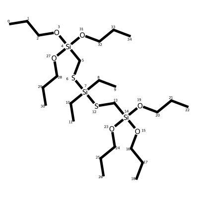 CCCO[Si](CS[Si](CC)(CC)SC[Si](OCCC)(OCCC)OCCC)(OCCC)OCCC